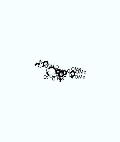 C=CC(=O)N(C)[C@H]1CC[C@H](O[C@H]2CCC[C@H](CC)OC(=O)C[C@@H]3C(=C[C@H]4[C@@H]5C[C@H](OC6OC(C)C(OC)C(OC)C6OC)C[C@H]5c5sc(C)nc5[C@H]43)C(=O)[C@@H]2C)OC1C